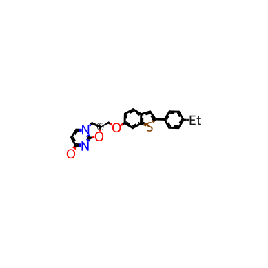 CCc1ccc(-c2cc3ccc(OC[C@@H]4Cn5ccc(=O)nc5O4)cc3s2)cc1